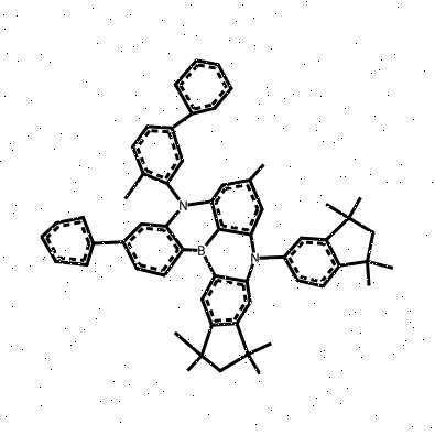 Cc1cc2c3c(c1)N(c1cc(-c4ccccc4)ccc1C)c1cc(-c4ccccc4)ccc1B3c1cc3c(cc1N2c1ccc2c(c1)C(C)(C)CC2(C)C)C(C)(C)CC3(C)C